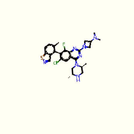 Cc1ccc2sncc2c1-c1c(Cl)cc2c(N3C[C@@H](C)NC[C@@H]3C)nc(N3CC(N(C)C)C3)nc2c1F